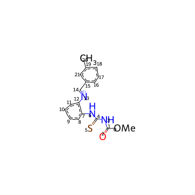 COC(=O)NC(=S)Nc1ccccc1/N=C/c1cccc(C)c1